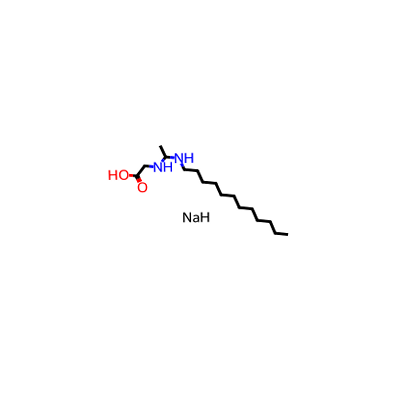 CCCCCCCCCCCCNC(C)NCC(=O)O.[NaH]